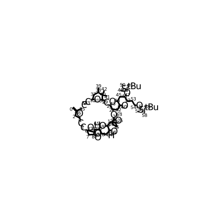 C=C1CC2CC[C@@]34CC5OC6C(O3)[C@H]3OC(CCC3O[C@H]6C5O4)CC(=O)OC3C(CC4OC(CCC1O2)CC(C)C4(C)C)OC1CC(O[Si](C)(C)C(C)(C)C)C(CCO[Si](C)(C)C(C)(C)C)OC1[C@@H]3C